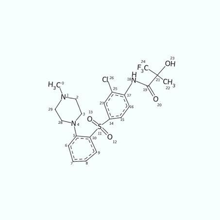 CN1CCN(c2ccccc2S(=O)(=O)c2ccc(NC(=O)C(C)(O)C(F)(F)F)c(Cl)c2)CC1